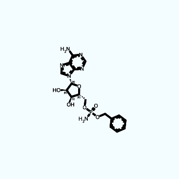 Nc1ncnc2c1ncn2[C@@H]1O[C@H](COP(N)(=O)OCc2ccccc2)[C@@H](O)[C@H]1O